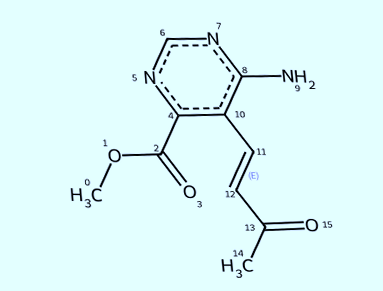 COC(=O)c1ncnc(N)c1/C=C/C(C)=O